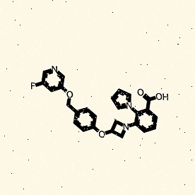 O=C(O)c1cccc(N2CC(Oc3ccc(COc4cncc(F)c4)cc3)C2)c1-n1cccc1